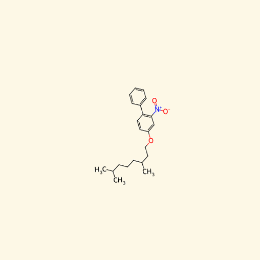 CC(C)CCCC(C)CCOc1ccc(-c2ccccc2)c([N+](=O)[O-])c1